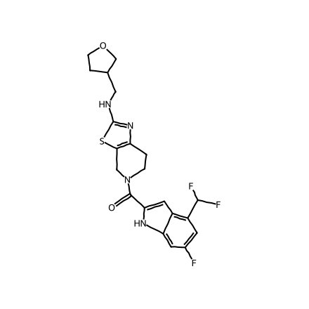 O=C(c1cc2c(C(F)F)cc(F)cc2[nH]1)N1CCc2nc(NCC3CCOC3)sc2C1